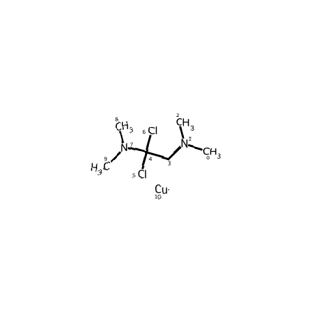 CN(C)CC(Cl)(Cl)N(C)C.[Cu]